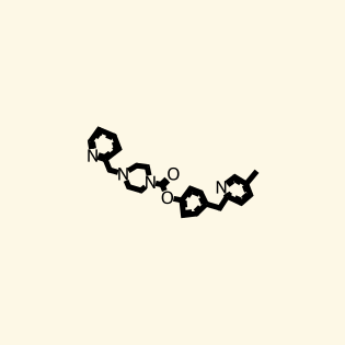 Cc1ccc(Cc2ccc(OC(=O)N3CCN(Cc4ccccn4)CC3)cc2)nc1